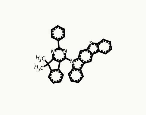 CC1(C)c2ccccc2-c2c(-n3c4ccccc4c4cc5c(cc43)sc3ccccc35)nc(-c3ccccc3)nc21